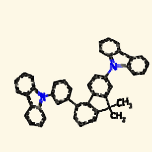 CC1(C)c2cc(-n3c4ccccc4c4ccccc43)ccc2-c2c(-c3cccc(-n4c5ccccc5c5ccccc54)c3)cccc21